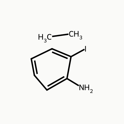 CC.Nc1ccccc1I